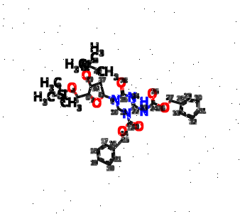 C[Si](C)(C)OCC1OC(N2CN(C(=O)OCc3ccccc3)C(NC(=O)OCc3ccccc3)=NC2=O)CC1O[Si](C)(C)C